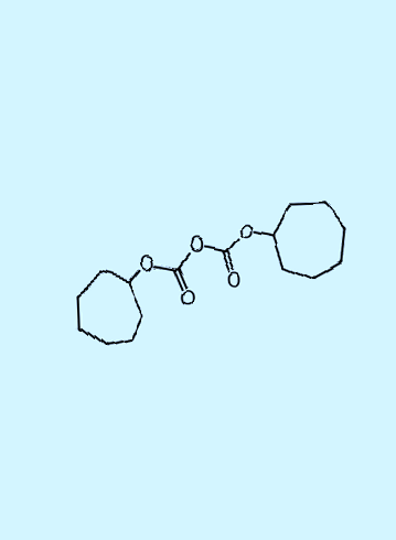 O=C(OC(=O)OC1CCCCCC1)OC1CCCCCC1